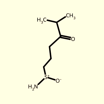 CC(C)C(=O)CCC[S+](N)[O-]